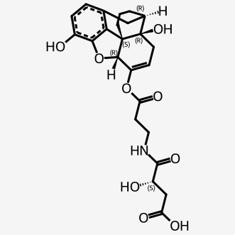 O=C(O)C[C@H](O)C(=O)NCCC(=O)OC1=CC[C@@]2(O)[C@@H]3CCC[C@@]24c2c(ccc(O)c2O[C@@H]14)C3